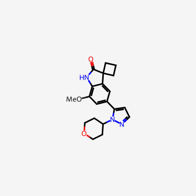 COc1cc(-c2ccnn2C2CCOCC2)cc2c1NC(=O)C21CCC1